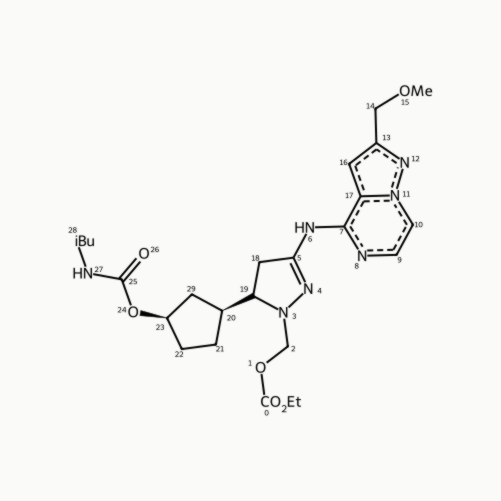 CCOC(=O)OCN1N=C(Nc2nccn3nc(COC)cc23)CC1[C@H]1CC[C@@H](OC(=O)NC(C)CC)C1